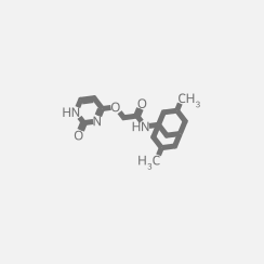 CC1CC2CC(C)CC(NC(=O)COc3cc[nH]c(=O)n3)(C1)C2